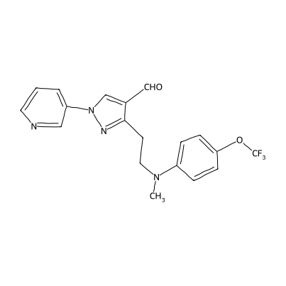 CN(CCc1nn(-c2cccnc2)cc1C=O)c1ccc(OC(F)(F)F)cc1